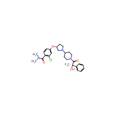 CN(C)C(=O)c1ccc(O[C@H]2CCN(C3CCN(C(=O)[C@](O)(c4ccccc4)C(F)(F)F)CC3)C2)cc1Cl